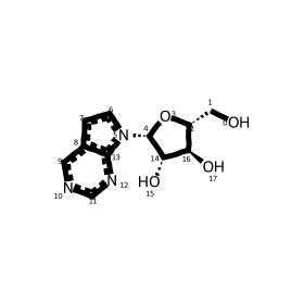 OC[C@H]1O[C@@H](n2ccc3cncnc32)[C@@H](O)[C@@H]1O